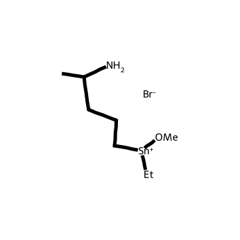 C[CH2][Sn+]([CH2]CCC(C)N)[O]C.[Br-]